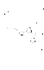 Cc1cc(Nc2nccc(C(F)(F)F)n2)cc(-c2cnc(CNc3cn(C(C)C)nn3)s2)c1